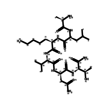 CC(C)C[C@H](NC(=O)[C@H](C)N)C(=O)N[C@@H](CCCCN)C(=O)N[C@H](C(=O)N[C@@H](CC(N)=O)C(=O)N[C@H](C(N)=O)[C@@H](C)O)C(C)C